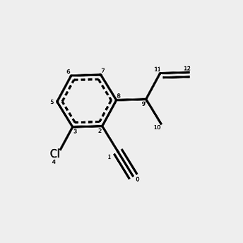 C#Cc1c(Cl)cccc1[C](C)C=C